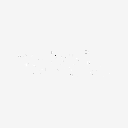 CCc1nc(NC2CCCC2)c2cnn([C@@H]3O[C@H](COC(COC)P(=O)(O)O)[C@@H](O)[C@H]3O)c2n1